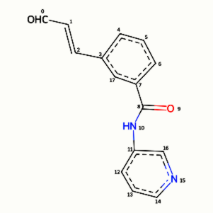 O=C/C=C/c1cccc(C(=O)Nc2cccnc2)c1